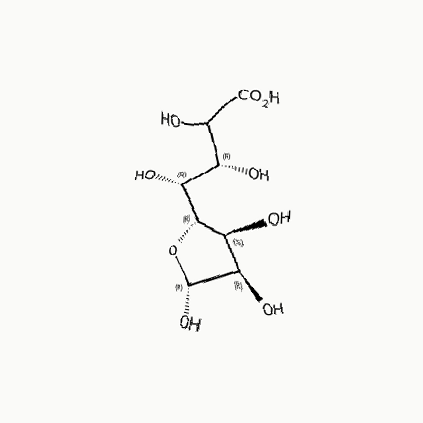 O=C(O)C(O)[C@H](O)[C@@H](O)[C@H]1O[C@@H](O)[C@H](O)[C@@H]1O